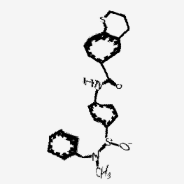 CN(c1ccccc1)[S+]([O-])c1ccc(NC(=O)c2ccc3c(c2)CCCS3)cc1